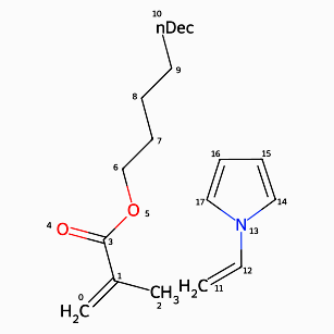 C=C(C)C(=O)OCCCCCCCCCCCCCC.C=Cn1cccc1